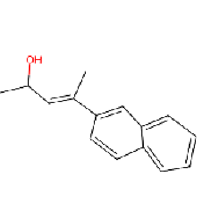 CC(=CC(C)O)c1ccc2ccccc2c1